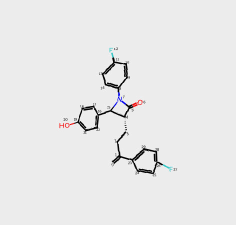 C=C(CC[C@H]1C(=O)N(c2ccc(F)cc2)C1c1ccc(O)cc1)c1ccc(F)cc1